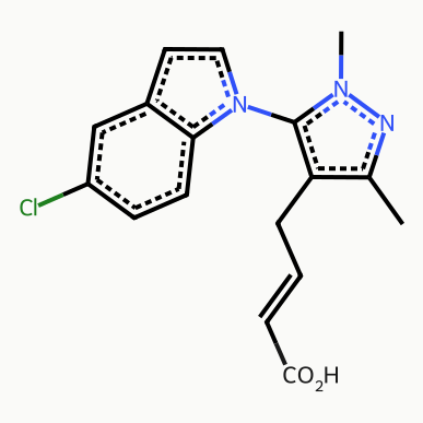 Cc1nn(C)c(-n2ccc3cc(Cl)ccc32)c1CC=CC(=O)O